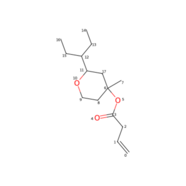 C=CCC(=O)OC1(C)CCOC(C(CC)CC)C1